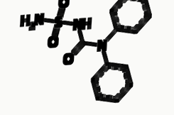 NS(=O)(=O)NC(=O)N(c1ccccc1)c1ccccc1